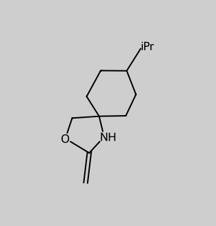 C=C1NC2(CCC(C(C)C)CC2)CO1